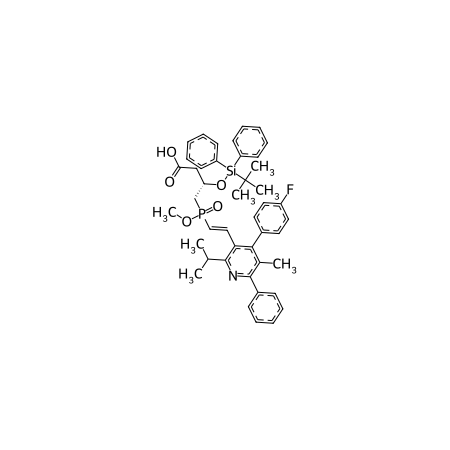 COP(=O)(/C=C/c1c(C(C)C)nc(-c2ccccc2)c(C)c1-c1ccc(F)cc1)C[C@H](CC(=O)O)O[Si](c1ccccc1)(c1ccccc1)C(C)(C)C